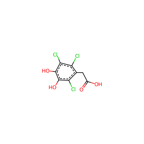 O=C(O)Cc1c(Cl)c(O)c(O)c(Cl)c1Cl